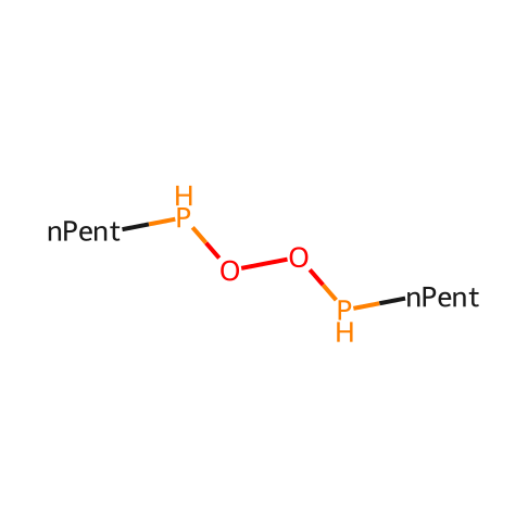 CCCCCPOOPCCCCC